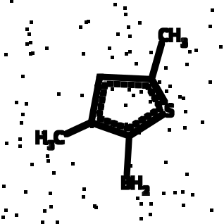 Bc1sc(C)cc1C